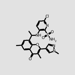 Cc1cc(C(C)Nc2ccc(Cl)nc2S(N)(=O)=O)c2oc(-c3cnn(C)c3)c(C)c(=O)c2c1